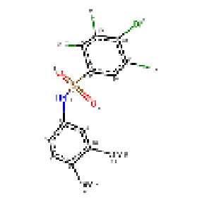 COc1ccc(NS(=O)(=O)c2cc(F)c(Br)c(F)c2F)cc1OC